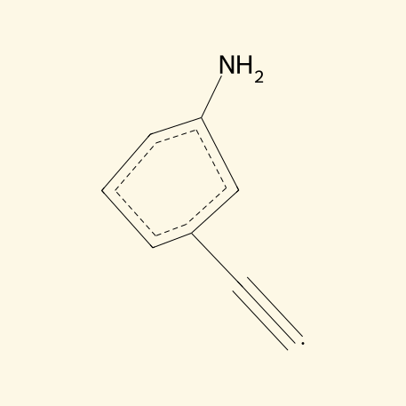 [C]#Cc1cccc(N)c1